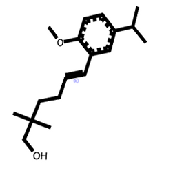 COc1ccc(C(C)C)cc1/C=C/CCC(C)(C)CO